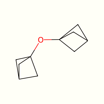 C1C2CC1(OC13CC(C1)C3)C2